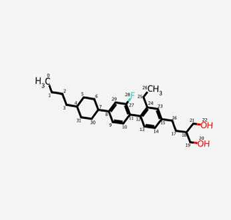 CCCCC1CCC(c2ccc(-c3ccc(CCC(CO)CO)cc3CC)c(F)c2)CC1